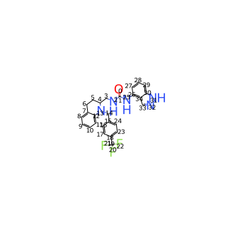 O=C(NCC1CCc2ccccc2N1Cc1ccc(C(F)(F)F)cc1)Nc1cccc2[nH]ncc12